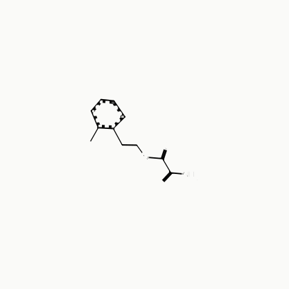 Cc1ccccc1CCNC(=O)C(N)=O